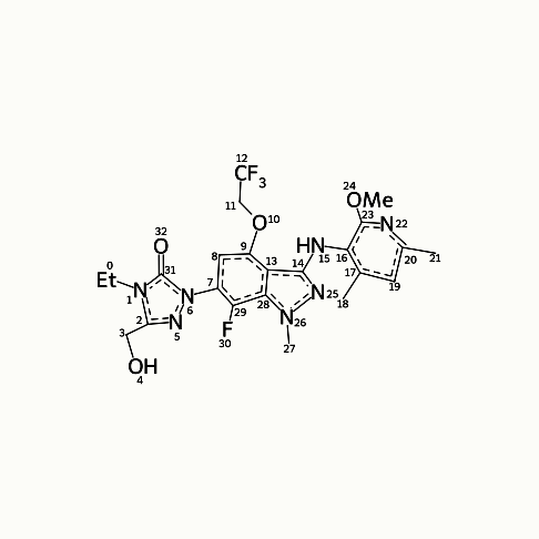 CCn1c(CO)nn(-c2cc(OCC(F)(F)F)c3c(Nc4c(C)cc(C)nc4OC)nn(C)c3c2F)c1=O